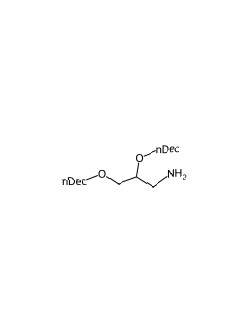 CCCCCCCCCCOCC(CN)OCCCCCCCCCC